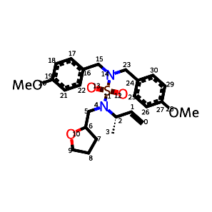 C=C[C@H](C)N(CC1CCCO1)S(=O)(=O)N(Cc1ccc(OC)cc1)Cc1ccc(OC)cc1